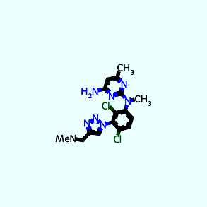 CNCc1cn(-c2c(Cl)ccc(N(C)c3nc(C)cc(N)n3)c2Cl)nn1